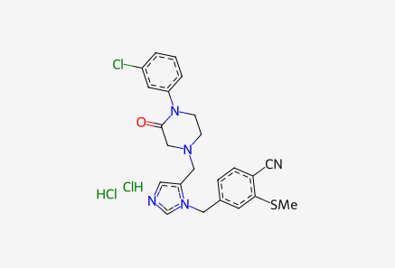 CSc1cc(Cn2cncc2CN2CCN(c3cccc(Cl)c3)C(=O)C2)ccc1C#N.Cl.Cl